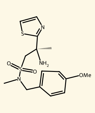 COc1ccc(CN(C)S(=O)(=O)C[C@](C)(N)c2nccs2)cc1